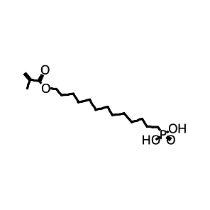 C=C(C)C(=O)OCCCCCCCCCCCCCP(=O)(O)O